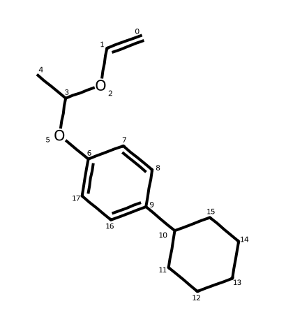 C=COC(C)Oc1ccc(C2CCCCC2)cc1